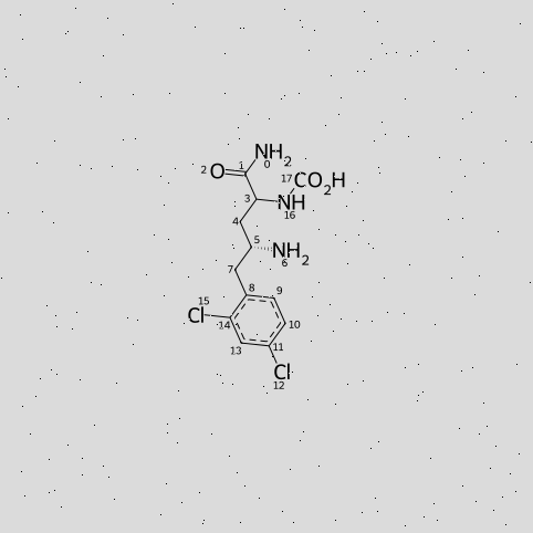 NC(=O)C(C[C@H](N)Cc1ccc(Cl)cc1Cl)NC(=O)O